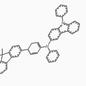 CC1(C)c2ccccc2-c2cc(C3C=CC(N(c4ccccc4)c4ccc5c(c4)c4ccccc4n5-c4ccccc4)=CC3)ccc21